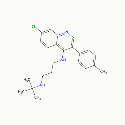 Cc1ccc(-c2cnc3cc(Cl)ccc3c2NCCCNC(C)(C)C)cc1